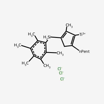 CCCCCC1=[C]([Ti+3])C(C)=C([SiH2]c2c(C)c(C)c(C)c(C)c2C)C1.[Cl-].[Cl-].[Cl-]